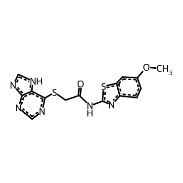 COc1ccc2nc(NC(=O)CSc3ncnc4nc[nH]c34)sc2c1